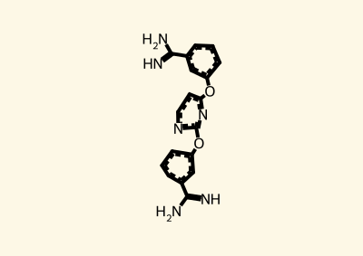 N=C(N)c1cccc(Oc2ccnc(Oc3cccc(C(=N)N)c3)n2)c1